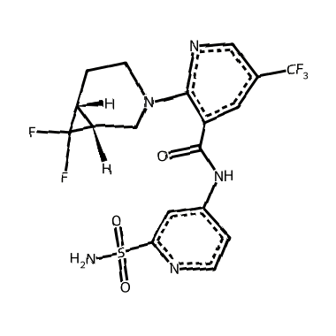 NS(=O)(=O)c1cc(NC(=O)c2cc(C(F)(F)F)cnc2N2CC[C@@H]3[C@H](C2)C3(F)F)ccn1